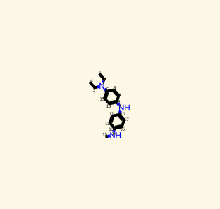 CCN(CC)c1ccc(Nc2ccc(NC)cc2)cc1